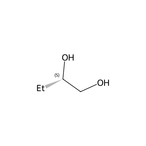 [CH2]C[C@H](O)CO